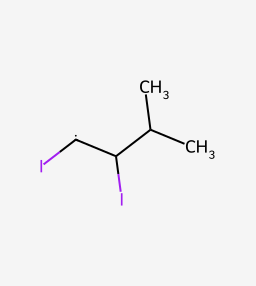 CC(C)C(I)[CH]I